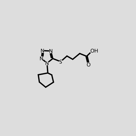 O=C(O)CCCSc1nnnn1C1CCCCC1